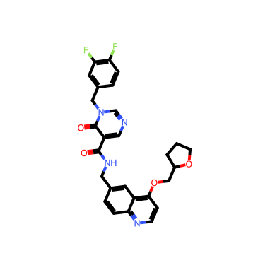 O=C(NCc1ccc2nccc(OCC3CCCO3)c2c1)c1cncn(Cc2ccc(F)c(F)c2)c1=O